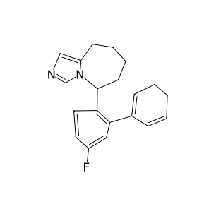 Fc1ccc(C2CCCCc3cncn32)c(C2=CCCC=C2)c1